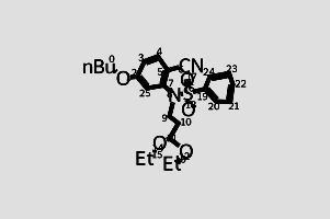 CCCCOc1ccc(C#N)c(N(CCC(OCC)OCC)S(=O)(=O)c2ccccc2)c1